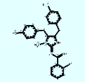 Cc1ccc(Cc2[nH]/c(=N\C(=O)c3ccccc3F)n(C)c2Cc2ccc(O)cc2)cc1